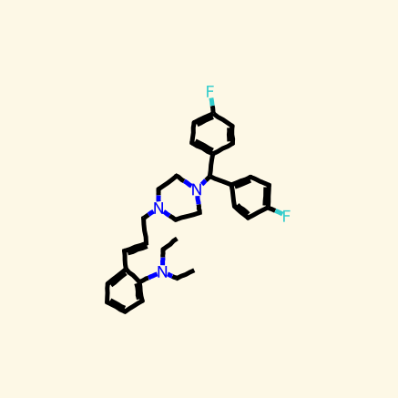 CCN(CC)c1ccccc1C=CCN1CCN(C(c2ccc(F)cc2)c2ccc(F)cc2)CC1